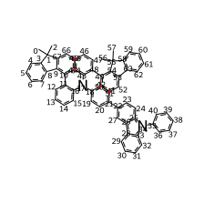 CC1(C)c2ccccc2-c2c(-c3ccccc3N(c3ccc(-c4ccc5c(c4)c4ccccc4n5-c4ccccc4)cc3)c3ccccc3-c3cccc4c3C(C)(C)c3ccccc3-4)cccc21